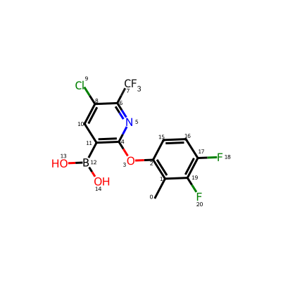 Cc1c(Oc2nc(C(F)(F)F)c(Cl)cc2B(O)O)ccc(F)c1F